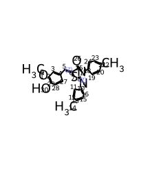 COc1cc(/C=C2\S/C(=N\c3ccc(C)cc3)N(c3ccc(C)cc3)C2=O)ccc1O